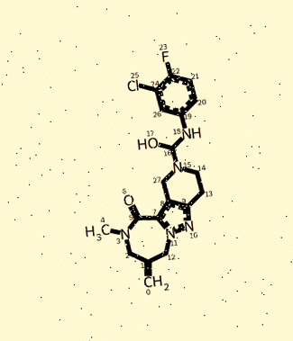 C=C1CN(C)C(=O)c2c3c(nn2C1)CCN(C(O)Nc1ccc(F)c(Cl)c1)C3